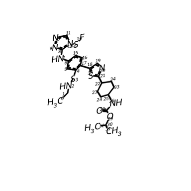 CCNSc1cc(Nc2nncn2SF)ccc1-c1cnc(C2CCC(NC(=O)OC(C)C)CC2)s1